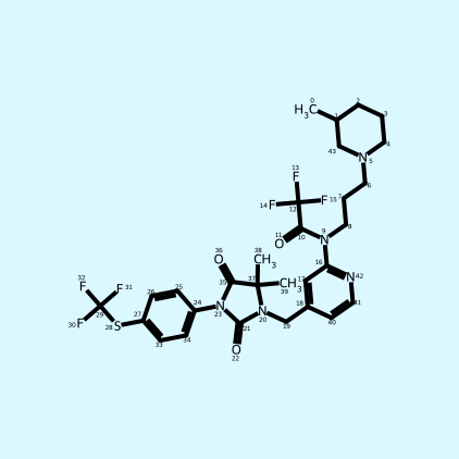 CC1CCCN(CCCN(C(=O)C(F)(F)F)c2cc(CN3C(=O)N(c4ccc(SC(F)(F)F)cc4)C(=O)C3(C)C)ccn2)C1